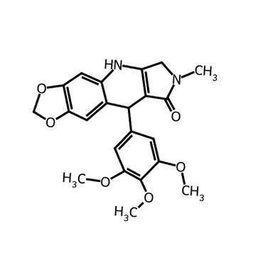 COc1cc(C2C3=C(CN(C)C3=O)Nc3cc4c(cc32)OCO4)cc(OC)c1OC